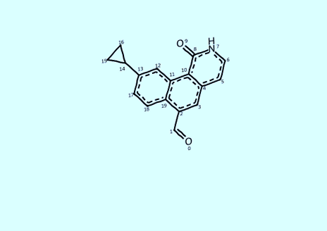 O=Cc1cc2cc[nH]c(=O)c2c2cc(C3CC3)ccc12